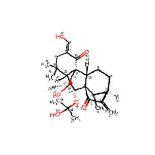 C=C1C(=O)[C@]23C(C)[C@H]1CC[C@H]2[C@@]12CO[C@@]3(OC(C)(C)O)[C@@H](O)[C@@H]1C(C)(C)C/C(=C\O)C2=O